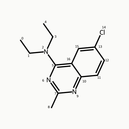 CCN(CC)c1nc(C)nc2ccc(Cl)cc12